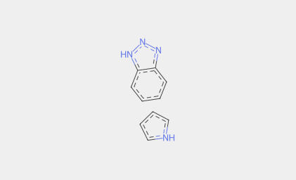 c1cc[nH]c1.c1ccc2[nH]nnc2c1